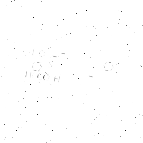 O=C(O)CCS[C@H](/C=C/C=C\CCCCCC/C=C\CCc1ccccc1)[C@@H](O)c1cccc(C(=O)O)c1